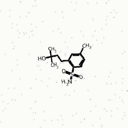 Cc1ccc(S(N)(=O)=O)c(CCC(C)(C)O)c1